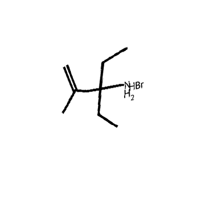 Br.C=C(C)C(N)(CC)CC